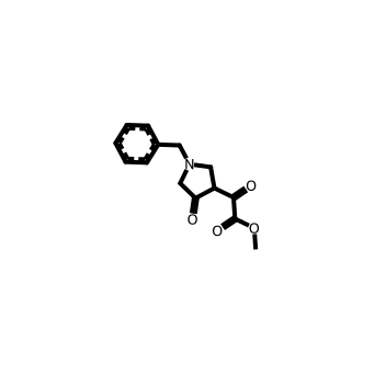 COC(=O)C(=O)C1CN(Cc2ccccc2)CC1=O